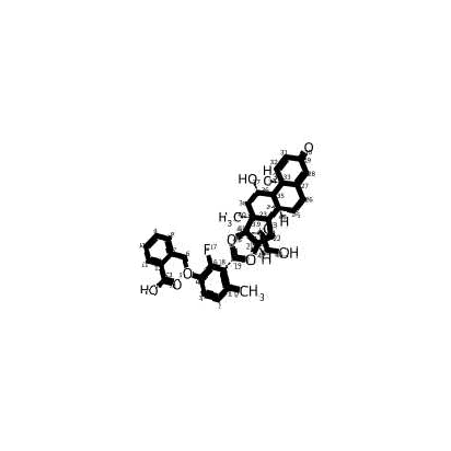 Cc1ccc(OCc2ccccc2C(=O)O)c(F)c1[C@H]1O[C@@H]2CC3[C@@H]4CCC5=CC(=O)C=C[C@]5(C)C4[C@@H](O)C[C@]3(C)[C@]2(C(=O)CO)O1